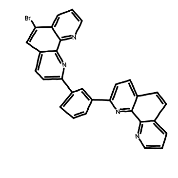 Brc1cc2ccc(-c3cccc(-c4ccc5ccc6cccnc6c5n4)c3)nc2c2ncccc12